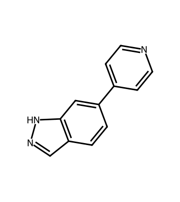 c1cc(-c2ccc3cn[nH]c3c2)ccn1